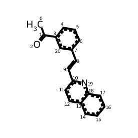 CC(=O)c1cccc(C=Cc2ccc3ccccc3n2)c1